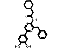 O=C(CC1CCCCC1)Nc1ncc(-c2ccc(O)c(O)c2)nc1Cc1ccccc1